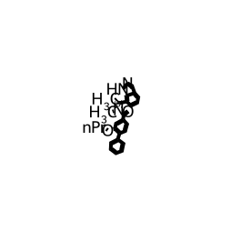 CCCOc1cc(C(=O)N(C)[C@@H](C)c2cccc3cn[nH]c23)ccc1-c1ccccc1